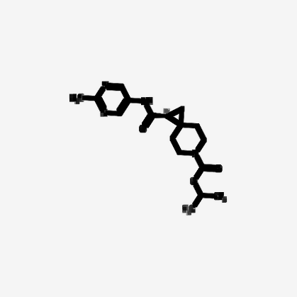 Cc1ncc(NC(=O)[C@H]2CC23CCN(C(=O)OC(C(F)(F)F)C(F)(F)F)CC3)cn1